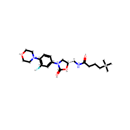 C[Si](C)(C)CCCC(=O)NC[C@H]1CN(c2ccc(N3CCOCC3)c(F)c2)C(=O)O1